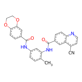 Cc1ccc(NC(=O)c2ccc3c(c2)OCCO3)cc1NC(=O)c1ccc2nccc(C#N)c2c1